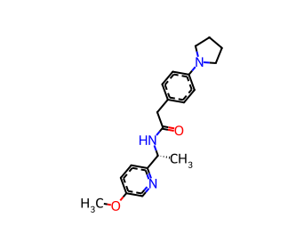 COc1ccc([C@@H](C)NC(=O)Cc2ccc(N3CCCC3)cc2)nc1